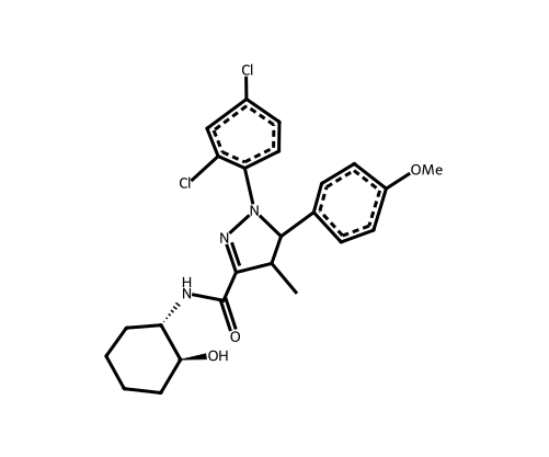 COc1ccc(C2C(C)C(C(=O)N[C@H]3CCCC[C@@H]3O)=NN2c2ccc(Cl)cc2Cl)cc1